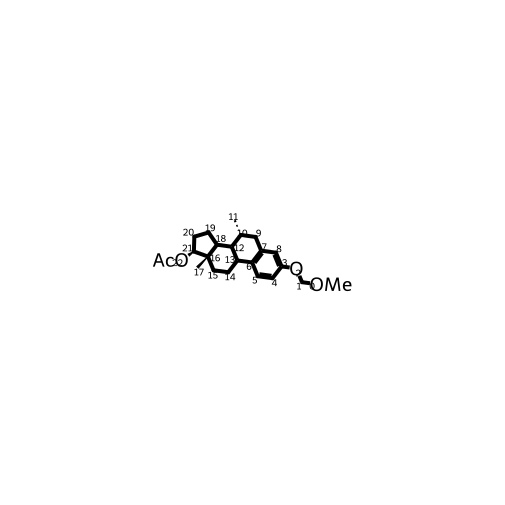 COCOc1ccc2c(c1)C[C@@H](C)C1C2CC[C@@]2(C)C1CC[C@@H]2OC(C)=O